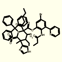 CCCCC(=O)C1(C(=O)Oc2cc(Br)cc(-c3ccccn3)c2NC(=O)CC)C(N)C(CC)C(C)(c2c[nH]cn2)C(=S(=O)=O)N1C(c1ccccc1)(c1ccccc1)c1ccccc1